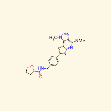 CNc1nc2nc(-c3ccc(CNC(=O)C4CCCO4)cc3)sc2c2c1ncn2C